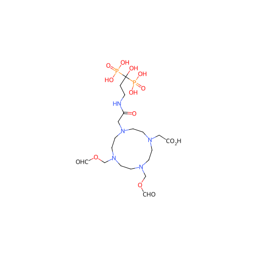 O=COCN1CCN(COC=O)CCN(CC(=O)NCCC(O)(P(=O)(O)O)P(=O)(O)O)CCN(CC(=O)O)CC1